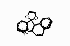 CC1C=Cc2ccccc2C1C1(c2ccccc2)OCCO1